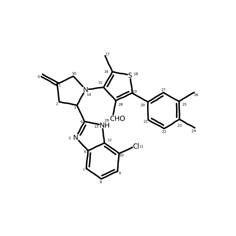 C=C1CC(c2nc3cccc(Cl)c3[nH]2)N(c2c(C)sc(-c3ccc(C)c(C)c3)c2C=O)C1